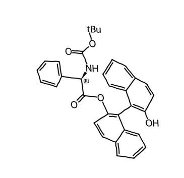 CC(C)(C)OC(=O)N[C@@H](C(=O)Oc1ccc2ccccc2c1-c1c(O)ccc2ccccc12)c1ccccc1